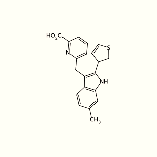 Cc1ccc2c(Cc3cccc(C(=O)O)n3)c(C3C=CSC3)[nH]c2c1